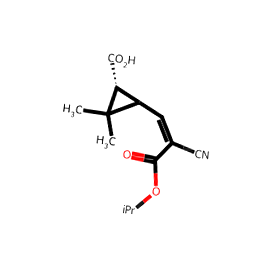 CC(C)OC(=O)C(C#N)=CC1[C@@H](C(=O)O)C1(C)C